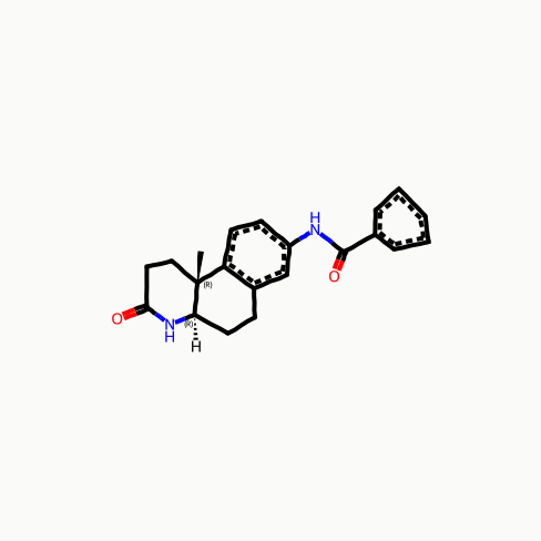 C[C@]12CCC(=O)N[C@@H]1CCc1cc(NC(=O)c3ccccc3)ccc12